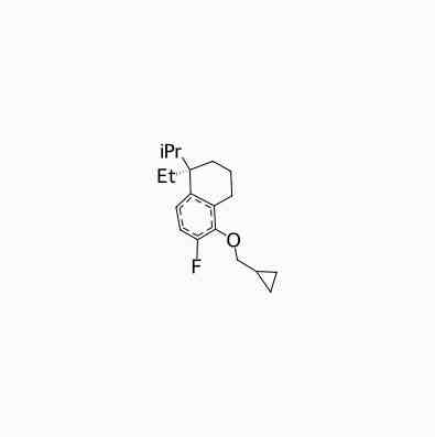 CC[C@]1(C(C)C)CCCc2c1ccc(F)c2OCC1CC1